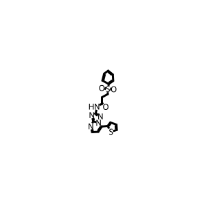 O=C(CCS(=O)(=O)c1ccccc1)Nc1nc2nccc(-c3cccs3)n2n1